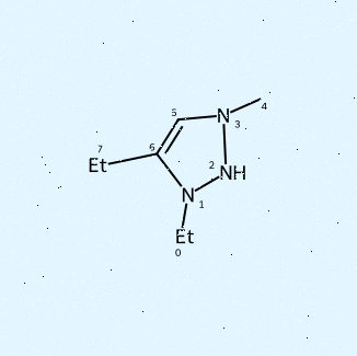 [CH2]CN1NN(C)C=C1CC